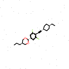 CCC[C@H]1CO[C@H](c2cc(F)c(C#C[C@H]3CC[C@H](CC)CC3)c(F)c2)OC1